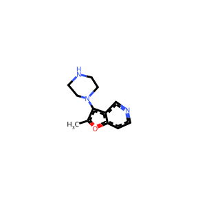 Cc1oc2ccncc2c1N1CCNCC1